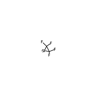 FC1(F)[Si]C1(F)F